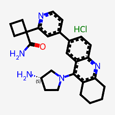 Cl.NC(=O)C1(c2cc(-c3ccc4nc5c(c(N6CC[C@H](N)C6)c4c3)CCCC5)ccn2)CCC1